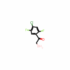 BCC(=O)c1cc(F)c(Cl)cc1F